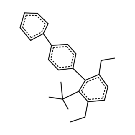 CCc1ccc(CC)c(C(C)(C)C)c1-c1ccc(-c2ccccc2)cc1